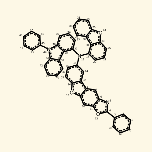 c1ccc(-c2nc3cc4c(cc3o2)oc2ccc(N(c3cccc5oc6ccccc6c35)c3cccc5c3c3ccccc3n5-c3ccccc3)cc24)cc1